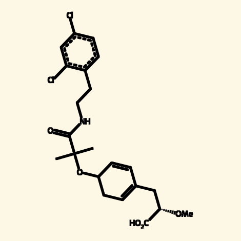 CO[C@@H](CC1=CCC(OC(C)(C)C(=O)NCCc2ccc(Cl)cc2Cl)C=C1)C(=O)O